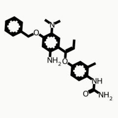 C/C=C(/Oc1ccc(NC(N)=O)c(C)c1)c1cc(N(C)C)c(OCc2ccccc2)cc1N